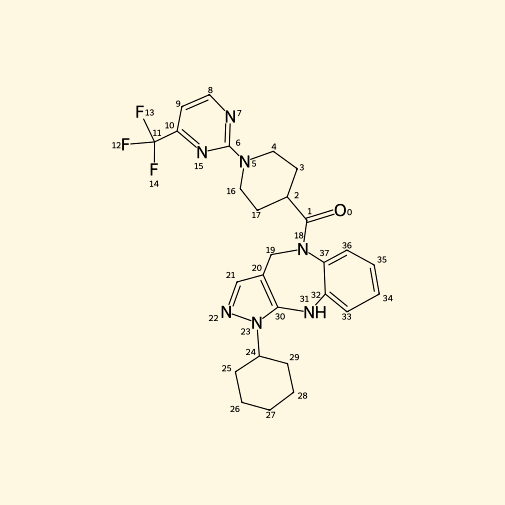 O=C(C1CCN(c2nccc(C(F)(F)F)n2)CC1)N1Cc2cnn(C3CCCCC3)c2Nc2ccccc21